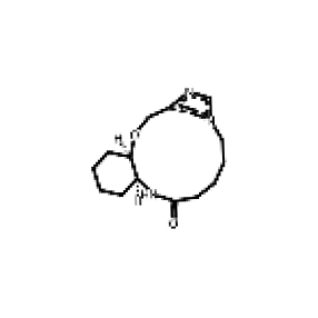 O=C1CCCCn2cnc(c2)CO[C@@H]2CCCC[C@@H]2N1